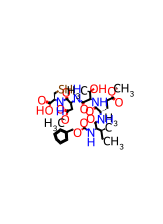 CC[C@H](C)[C@H](NC(=O)OCc1ccccc1)C(=O)N[C@@H](CCC(=O)OC)C(=O)N[C@H](C(=O)NC(CC(=O)OC)C(=O)N[C@H](CS)C(=O)O)[C@@H](C)O